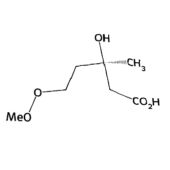 COOCC[C@@](C)(O)CC(=O)O